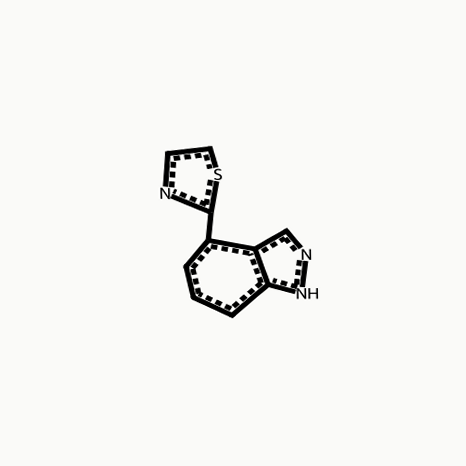 c1cc(-c2nccs2)c2cn[nH]c2c1